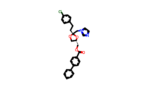 O=C(OC[C@@H]1CO[C@](CCc2ccc(Cl)cc2)(Cn2ccnc2)O1)c1ccc(-c2ccccc2)cc1